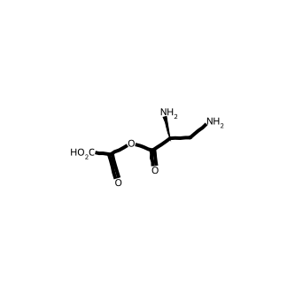 NC[C@H](N)C(=O)OC(=O)C(=O)O